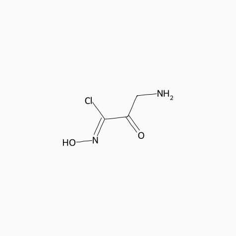 NCC(=O)/C(Cl)=N/O